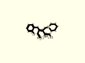 C\C=C/C(Cc1ccccc1F)=C(CN1CCCCC1)\C(N)=C\CC